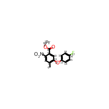 Cc1cc([N+](=O)[O-])c(C(=O)OC(C)C)cc1Oc1ccc(F)cc1